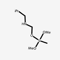 CO[Si](C)(OC)OCNCC(C)C